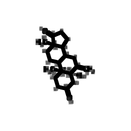 C=C1CC2C3CCC(=O)[C@@]3(C)CCC2[C@@]2(C)CCC(=O)C[C@H]12